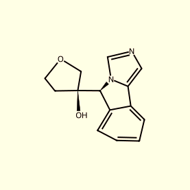 O[C@@]1([C@@H]2c3ccccc3-c3cncn32)CCOC1